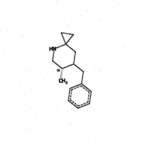 C[C@@H]1CNC2(CC2)CC1Cc1ccccc1